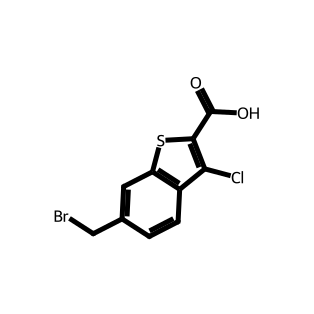 O=C(O)c1sc2cc(CBr)ccc2c1Cl